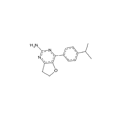 CC(C)c1ccc(-c2nc(N)nc3c2OCC3)cc1